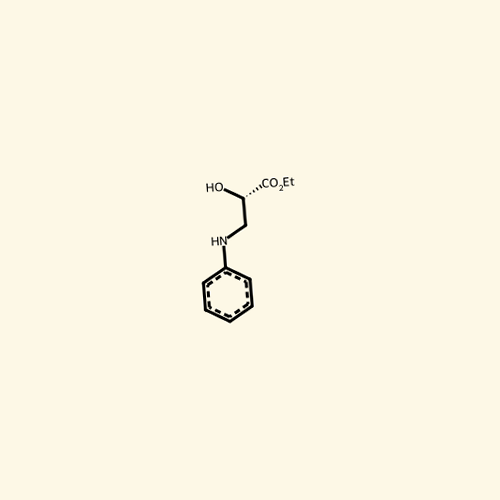 CCOC(=O)[C@@H](O)CNc1ccccc1